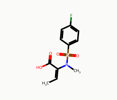 C/C=C(\C(=O)O)N(C)S(=O)(=O)c1ccc(F)cc1